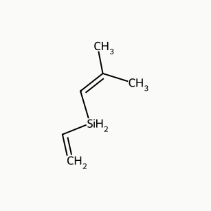 C=C[SiH2]C=C(C)C